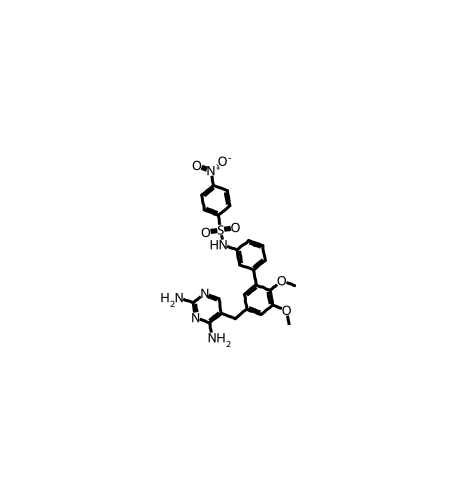 COc1cc(Cc2cnc(N)nc2N)cc(-c2cccc(NS(=O)(=O)c3ccc([N+](=O)[O-])cc3)c2)c1OC